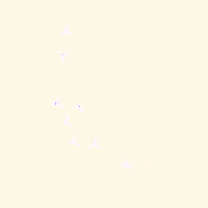 C=CC(=O)Nc1cscc1CN1Cc2cnc(Nc3ccc(N4CCN(C)CC4)cc3)nc2N(C)C1=O